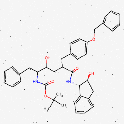 CC(C)(C)OC(=O)NC(Cc1ccccc1)C(O)CC(Cc1ccc(OCc2ccccc2)cc1)C(=O)N[C@H]1c2ccccc2C[C@@H]1O